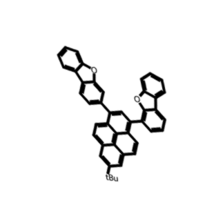 CC(C)(C)c1cc2ccc3c(-c4ccc5c(c4)oc4ccccc45)cc(-c4cccc5c4oc4ccccc45)c4ccc(c1)c2c34